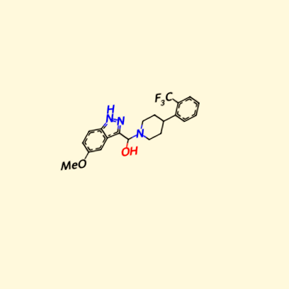 COc1ccc2[nH]nc(C(O)N3CCC(c4ccccc4C(F)(F)F)CC3)c2c1